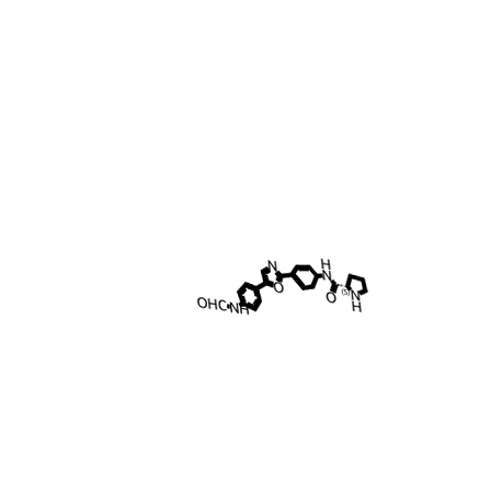 O=CNc1ccc(-c2cnc(C3=CCC(NC(=O)[C@@H]4CCCN4)C=C3)o2)cc1